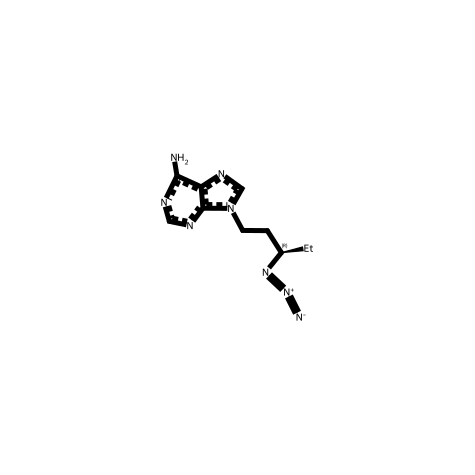 CC[C@H](CCn1cnc2c(N)ncnc21)N=[N+]=[N-]